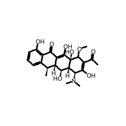 COC1C(C(C)=O)=C(O)[C@@H](N(C)C)[C@@H]2[C@@H](O)[C@H]3C(=C(O)[C@]12O)C(=O)c1c(O)cccc1[C@@H]3C